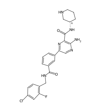 Nc1ncc(-c2cccc(C(=O)NCc3ccc(Cl)cc3F)c2)nc1C(=O)N[C@H]1CCCNC1